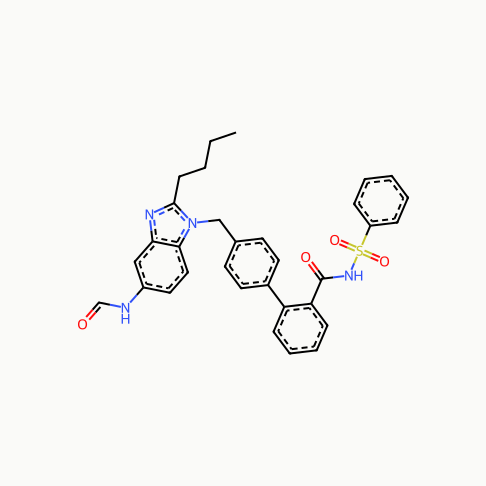 CCCCc1nc2cc(NC=O)ccc2n1Cc1ccc(-c2ccccc2C(=O)NS(=O)(=O)c2ccccc2)cc1